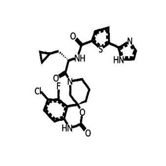 O=C1Nc2ccc(Cl)c(F)c2[C@@]2(CCCN(C(=O)[C@H](CC3CC3)NC(=O)c3ccc(-c4ncc[nH]4)s3)C2)O1